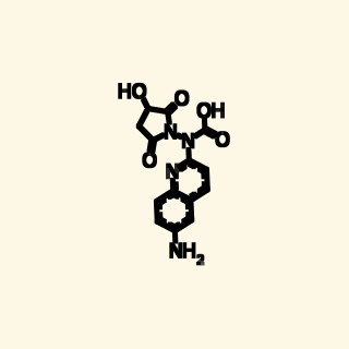 Nc1ccc2nc(N(C(=O)O)N3C(=O)CC(O)C3=O)ccc2c1